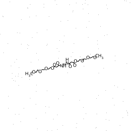 COCCOCCOCCOC(=O)CC(=O)NCCNC(=O)CC(=O)OCCOCCOCCOC